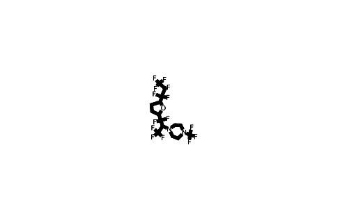 FC(C(F)(F)F)C(F)(F)C1CCC(C(F)(F)C(N2CCN(C(F)(F)F)CC2)C(F)(F)F)O1